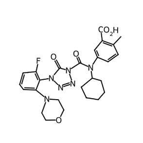 Cc1ccc(N(C(=O)n2nnn(-c3c(F)cccc3N3CCOCC3)c2=O)C2CCCCC2)cc1C(=O)O